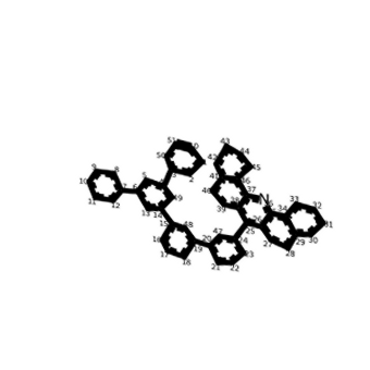 c1ccc(-c2cc(-c3ccccc3)cc(-c3cccc(-c4cccc(-c5c6ccc7ccccc7c6nc6c5ccc5ccccc56)c4)c3)c2)cc#1